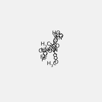 CCc1c(N2CCN(C(=O)c3ncccc3O)CC2)c(=O)n2nc(C3=CC4CC(OC)CC4C3)nc2n1CC(=O)Nc1ccc(C(F)(F)F)cc1Cl